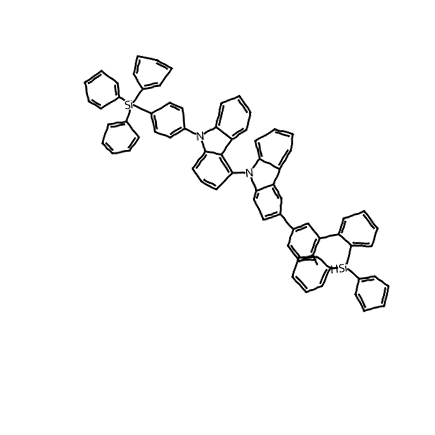 Cc1ccc(-c2ccc3c(c2)c2ccccc2n3-c2cccc3c2c2ccccc2n3-c2ccc([Si](c3ccccc3)(c3ccccc3)c3ccccc3)cc2)cc1-c1ccccc1[SiH](c1ccccc1)c1ccccc1